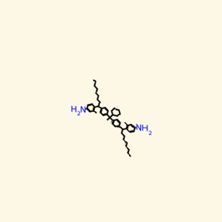 CCCCCCCCC(c1ccc(C(C)(c2ccc(C(CCCCCCCC)c3ccc(N)cc3C)cc2)C2CCCCC2)cc1)c1ccc(N)cc1C